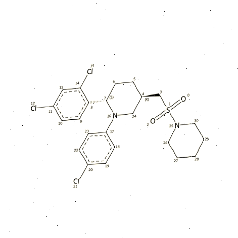 O=S(=O)(C[C@@H]1CC[C@@H](c2ccc(Cl)cc2Cl)N(c2ccc(Cl)cc2)C1)N1CCCCC1